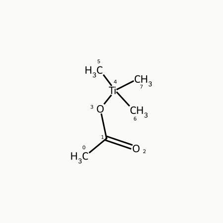 CC(=O)[O][Ti]([CH3])([CH3])[CH3]